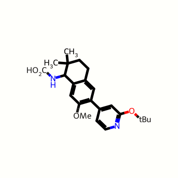 COc1cc2c(cc1-c1ccnc(OC(C)(C)C)c1)CCC(C)(C)C2NC(=O)O